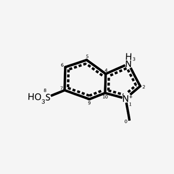 C[n+]1c[nH]c2ccc(S(=O)(=O)O)cc21